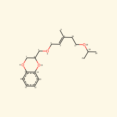 C/C(=C\COCC1COc2ccccc2O1)CCOC(C)C